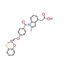 Cc1cc2c(CC(=O)O)cccc2n1C(=O)c1ccc(OC[C@@H]2CSc3ccccc3O2)cc1